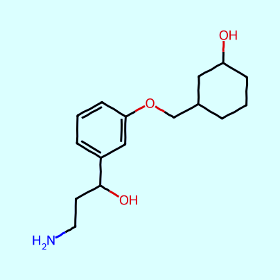 NCCC(O)c1cccc(OCC2CCCC(O)C2)c1